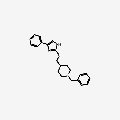 c1ccc(CN2CCC(COc3nc(-c4ccccc4)c[nH]3)CC2)cc1